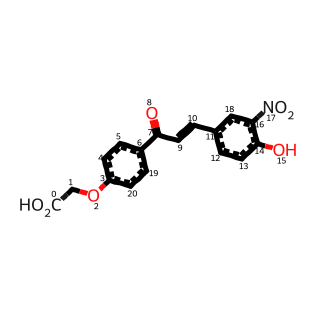 O=C(O)COc1ccc(C(=O)C=Cc2ccc(O)c([N+](=O)[O-])c2)cc1